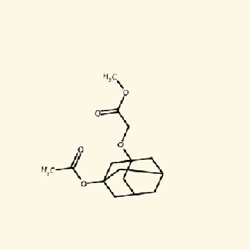 COC(=O)COC12CC3CC(C1)CC(OC(C)=O)(C3)C2